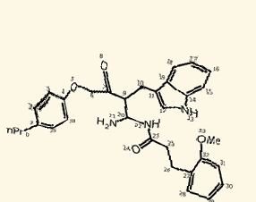 CCCc1ccc(OCC(=O)C(Cc2c[nH]c3ccccc23)C(N)NC(=O)CCc2ccccc2OC)cc1